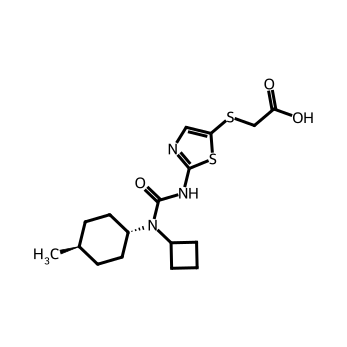 C[C@H]1CC[C@H](N(C(=O)Nc2ncc(SCC(=O)O)s2)C2CCC2)CC1